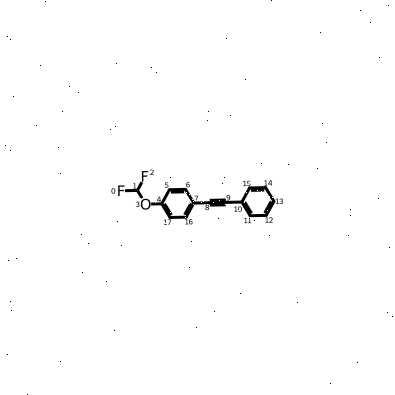 FC(F)Oc1ccc(C#Cc2ccccc2)cc1